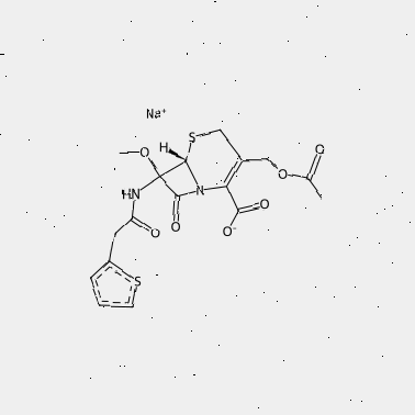 COC1(NC(=O)Cc2cccs2)C(=O)N2C(C(=O)[O-])=C(COC(C)=O)CS[C@H]21.[Na+]